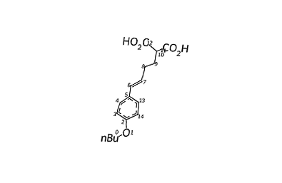 CCCCOc1ccc(C=CCCC(C(=O)O)C(=O)O)cc1